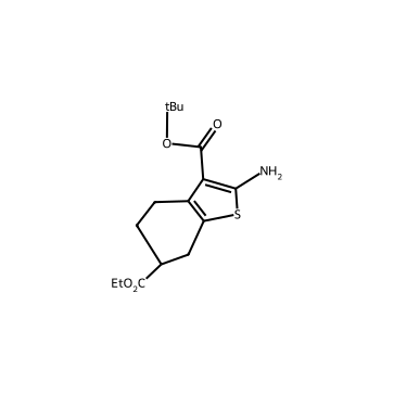 CCOC(=O)C1CCc2c(sc(N)c2C(=O)OC(C)(C)C)C1